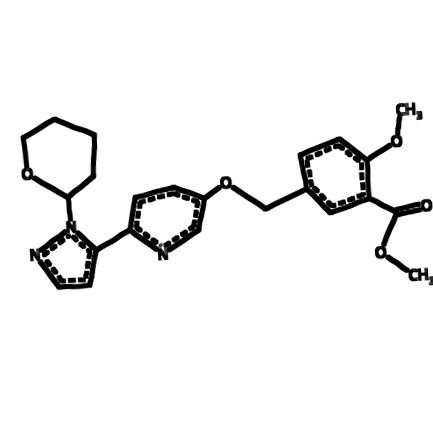 COC(=O)c1cc(COc2ccc(-c3ccnn3C3CCCCO3)nc2)ccc1OC